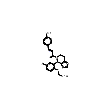 COc1ccc(/C=C/C(=O)N2CCc3ncsc3C2c2cc(Cl)ccc2OCC(=O)O)cc1